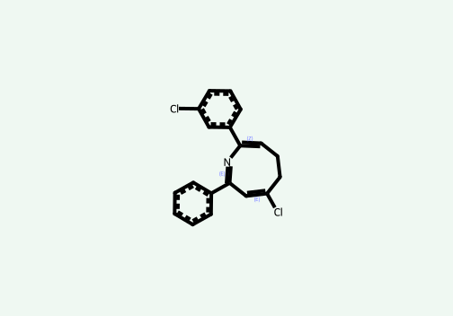 Cl/C1=C/C(c2ccccc2)=N\C(c2cccc(Cl)c2)=C/CC1